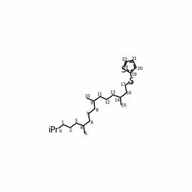 CC(C)CCCC(C)CCCC(C)CCCC(C)CCSc1cccs1